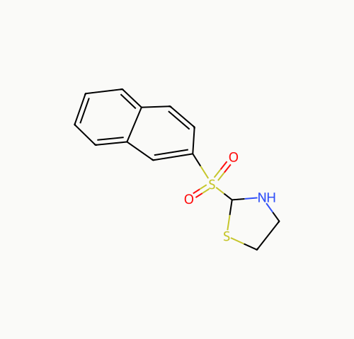 O=S(=O)(c1ccc2ccccc2c1)C1NCCS1